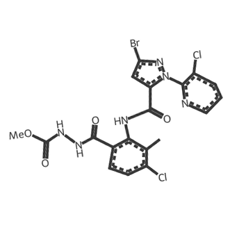 COC(=O)NNC(=O)c1ccc(Cl)c(C)c1NC(=O)c1cc(Br)nn1-c1ncccc1Cl